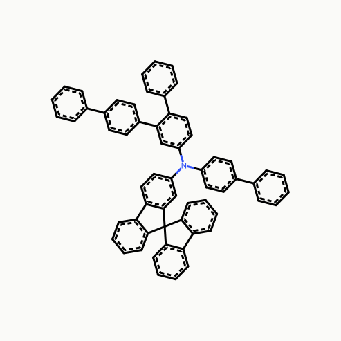 c1ccc(-c2ccc(-c3cc(N(c4ccc(-c5ccccc5)cc4)c4ccc5c(c4)C4(c6ccccc6-c6ccccc64)c4ccccc4-5)ccc3-c3ccccc3)cc2)cc1